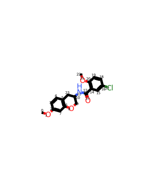 COc1ccc2c(c1)OCC(NC(=O)c1cc(Cl)ccc1OC)C2